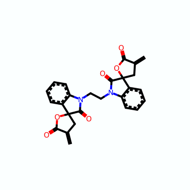 C=C1CC2(OC1=O)C(=O)N(CCN1C(=O)C3(CC(=C)C(=O)O3)c3ccccc31)c1ccccc12